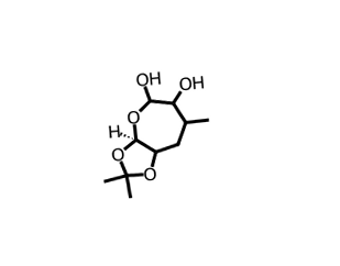 CC1CC2OC(C)(C)O[C@H]2OC(O)C1O